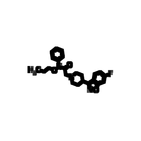 CCCON(C(=O)CN1CCC(c2noc3cc(F)ccc23)CC1)c1ccccc1